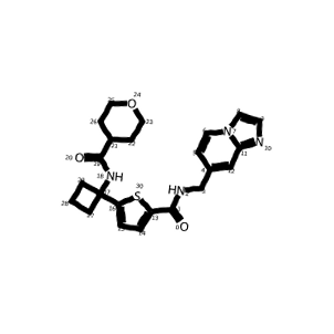 O=C(NCc1ccn2ccnc2c1)c1ccc(C2(NC(=O)C3CCOCC3)CCC2)s1